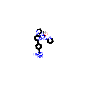 O=C(Nc1ccccn1)N1c2nc(-c3ccc(-c4nnn[nH]4)cc3)ccc2N2CC[C@H]1C2